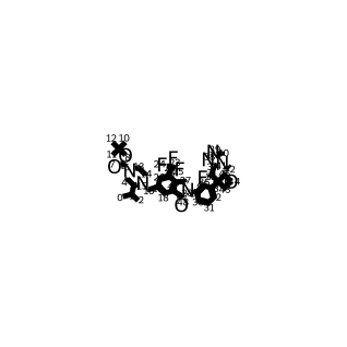 CC(C)C1CN(C(=O)OC(C)(C)C)CCN1Cc1cc2c(c(C(F)(F)F)c1)CN(c1cccc(C3([C@@H](F)c4nncn4C)COC3)c1)C2=O